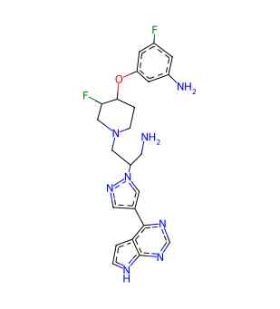 NCC(CN1CCC(Oc2cc(N)cc(F)c2)C(F)C1)n1cc(-c2ncnc3[nH]ccc23)cn1